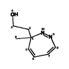 CC1(CCO)C=CC=CN=N1